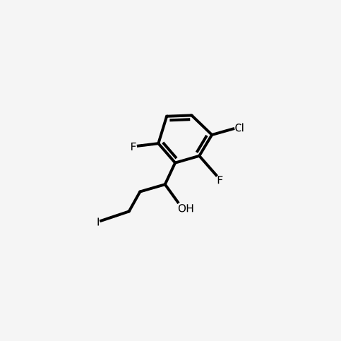 OC(CCI)c1c(F)ccc(Cl)c1F